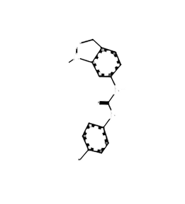 O=C(Nc1ccc(Cl)cc1)Nc1ccc2c(c1)B(O)OC2